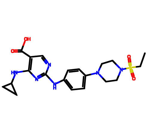 CCS(=O)(=O)N1CCN(c2ccc(Nc3ncc(C(=O)O)c(NC4CC4)n3)cc2)CC1